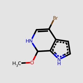 COC1NC=C(Br)c2cc[nH]c21